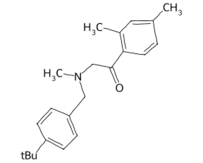 Cc1ccc(C(=O)CN(C)Cc2ccc(C(C)(C)C)cc2)c(C)c1